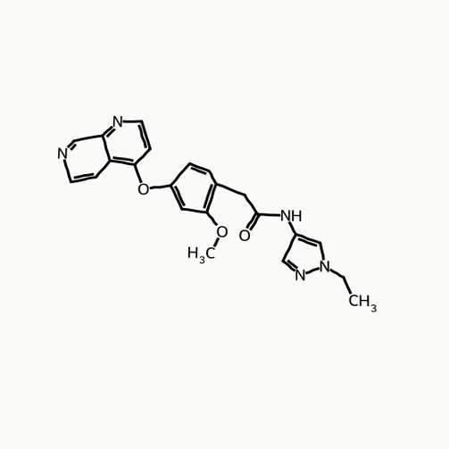 CCn1cc(NC(=O)Cc2ccc(Oc3ccnc4cnccc34)cc2OC)cn1